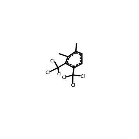 Cc1ccc(C(Cl)(Cl)Cl)c(C(Cl)(Cl)Cl)c1C